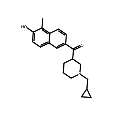 Cc1c(O)ccc2cc(C(=O)C3CCCN(CC4CC4)C3)ccc12